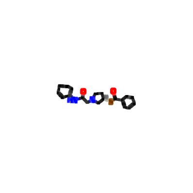 O=C(CN1CC[C@H](SC(=O)c2ccccc2)C1)Nc1ccccc1